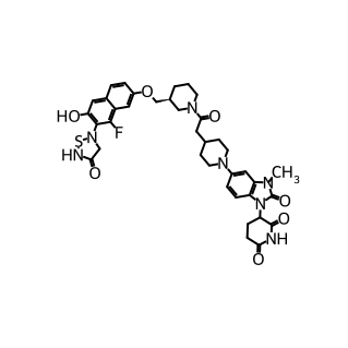 Cn1c(=O)n(C2CCC(=O)NC2=O)c2ccc(N3CCC(CC(=O)N4CCC[C@H](COc5ccc6cc(O)c(N7CC(=O)NS7)c(F)c6c5)C4)CC3)cc21